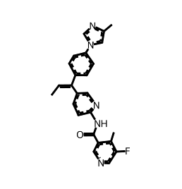 C/C=C(/c1ccc(-n2cnc(C)c2)cc1)c1ccc(NC(=O)c2cncc(F)c2C)nc1